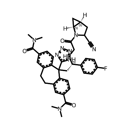 CN(C)C(=O)c1ccc2c(c1)CCc1cc(C(=O)N(C)C)ccc1C2(C[C@H](NCC(=O)N1C(C#N)C[C@@H]2C[C@@H]21)c1ccc(F)cc1)c1nnn[nH]1